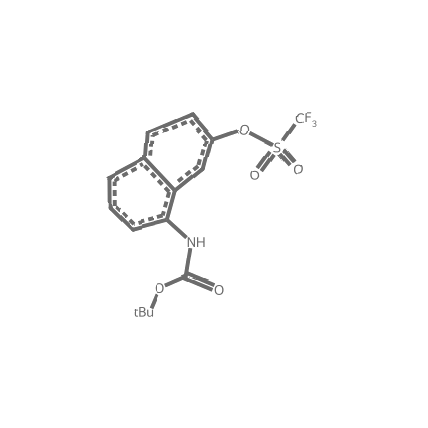 CC(C)(C)OC(=O)Nc1cccc2ccc(OS(=O)(=O)C(F)(F)F)cc12